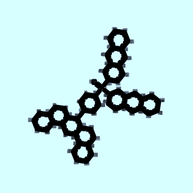 O=P(c1ccc(-c2c3ccc4ccccc4c3cc3c2ccc2ccccc23)cc1)(c1ccc2cc3ccccc3cc2c1)c1ccc2cc3ccccc3cc2c1